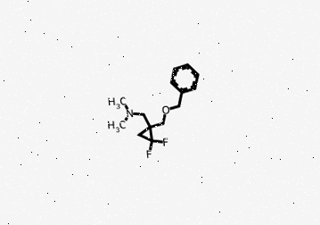 CN(C)CC1(COCc2ccccc2)CC1(F)F